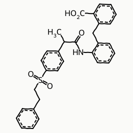 CC(C(=O)Nc1ccccc1Cc1ccccc1C(=O)O)c1ccc(S(=O)(=O)CCc2ccccc2)cc1